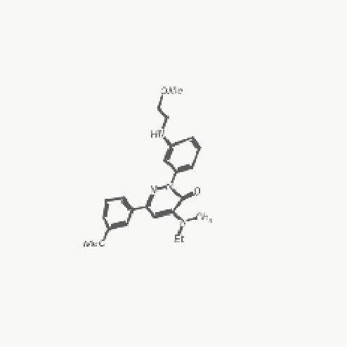 CCN(C)c1cc(-c2cccc(OC)c2)nn(-c2cccc(NCCOC)c2)c1=O